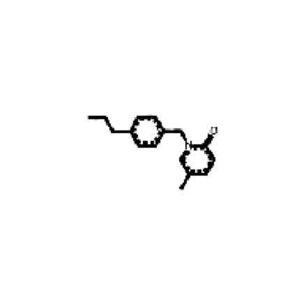 CCCc1ccc(Cn2cc(C)ccc2=O)cc1